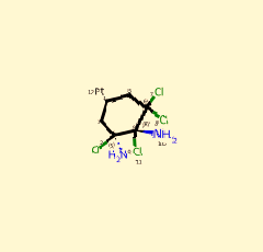 N[C@]1(Cl)CCCC(Cl)(Cl)[C@]1(N)Cl.[Pt]